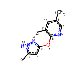 Cc1cc(Oc2ncc(C(F)(F)F)cc2C)n[nH]1